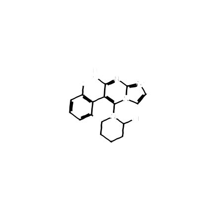 Cc1nc2nccn2c(N2CCCCC2C)c1-c1c(F)cccc1Cl